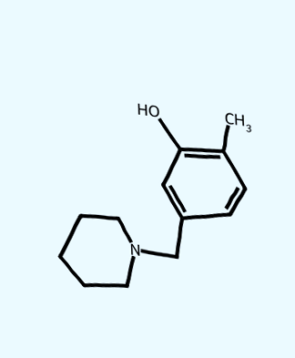 Cc1ccc(CN2CCCCC2)cc1O